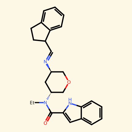 CCN(C(=O)c1cc2ccccc2[nH]1)[C@H]1COC[C@H](/N=C/C2CCc3ccccc32)C1